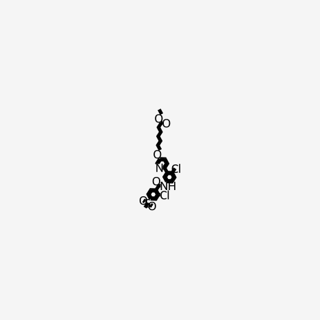 CCOC(=O)CCCCCCOc1ccc(-c2cc(NC(=O)c3ccc(S(C)(=O)=O)cc3Cl)ccc2Cl)nc1